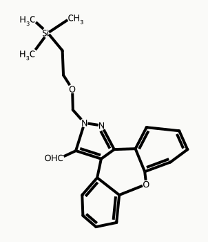 C[Si](C)(C)CCOCn1nc2c(c1C=O)-c1ccccc1Oc1ccccc1-2